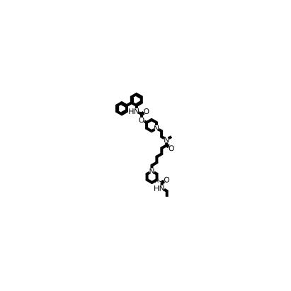 CCNC(=O)[C@@H]1CCCN(CCCCCC(=O)N(C)CCN2CCC(OC(=O)Nc3ccccc3-c3ccccc3)CC2)C1